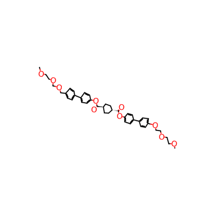 COCCOCCOc1ccc(-c2ccc(OC(=O)[C@H]3CC[C@H](C(=O)Oc4ccc(-c5ccc(COCOCCOC)cc5)cc4)CC3)cc2)cc1